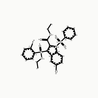 CCOC(=O)c1c(P(=O)(OCC)c2ccccc2F)c2cc(Cl)ccc2n1S(=O)(=O)c1ccccc1